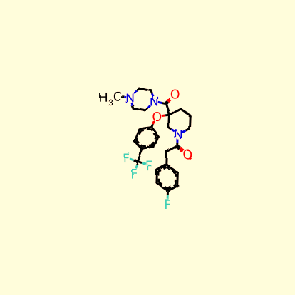 CN1CCN(C(=O)C2(Oc3ccc(C(F)(F)F)cc3)CCCN(C(=O)Cc3ccc(F)cc3)C2)CC1